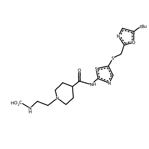 CC(C)(C)c1cnc(CSc2cnc(NC(=O)C3CCN(CCNC(=O)O)CC3)s2)o1